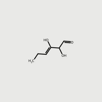 CCC=C(O)C(O)C=O